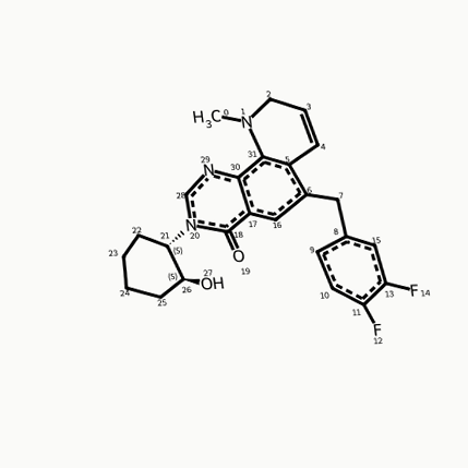 CN1CC=Cc2c(Cc3ccc(F)c(F)c3)cc3c(=O)n([C@H]4CCCC[C@@H]4O)cnc3c21